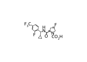 O=C(NC(c1ccc(C(F)(F)F)cc1F)C1CC1)[C@H]1C[C@H](F)CN1C(=O)O